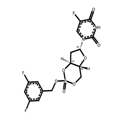 O=c1[nH]c(=O)n([C@H]2C[C@@H]3OP(=O)(OCc4cc(F)cc(F)c4)OC[C@H]3O2)cc1F